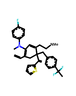 C=CC1=C(N(C)c2ccc(F)cc2)C=C(CCNC)C(Cc2ccc(C(C)(F)F)cc2)(C(=C)c2cccs2)C1